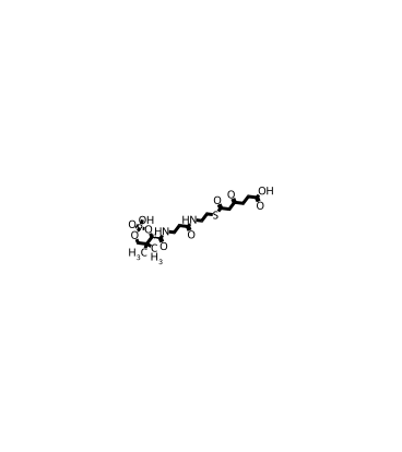 CC1(C)COP(=O)(O)O[C@H]1C(=O)NCCC(=O)NCCSC(=O)CC(=O)CCC(=O)O